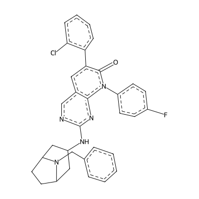 O=c1c(-c2ccccc2Cl)cc2cnc(NC3CC4CCC(C3)N4Cc3ccccc3)nc2n1-c1ccc(F)cc1